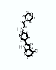 Clc1ccnc2[nH]c(-c3ccc(NCCN4CCOCC4)nc3)cc12